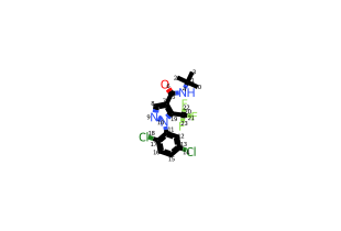 CC(C)(C)NC(=O)c1cnn(-c2cc(Cl)ccc2Cl)c1C(F)(F)F